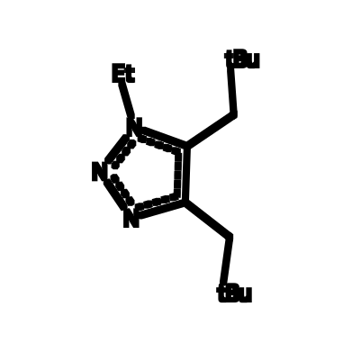 CCn1nnc(CC(C)(C)C)c1CC(C)(C)C